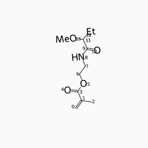 C=C(C)C(=O)OCCNC(=O)C(CC)OC